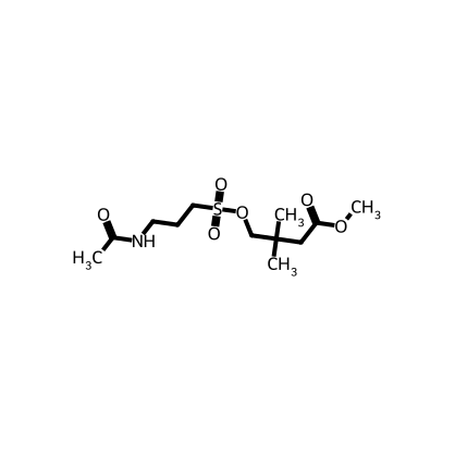 COC(=O)CC(C)(C)COS(=O)(=O)CCCNC(C)=O